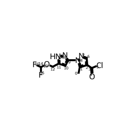 Cc1c(C(=O)Cl)cnn1-c1cc(COC(F)F)[nH]n1